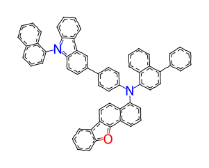 c1ccc(-c2ccc(N(c3ccc(-c4ccc5c(c4)c4ccccc4n5-c4cccc5ccccc45)cc3)c3cccc4c3ccc3c5ccccc5oc43)c3ccccc23)cc1